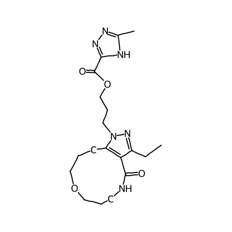 CCc1nn(CCCOC(=O)c2nnc(C)[nH]2)c2c1C(=O)NCCCOCCC2